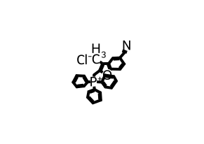 Cc1c(C[P+](c2ccccc2)(c2ccccc2)c2ccccc2)oc2ccc(C#N)cc12.[Cl-]